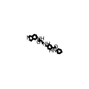 O=C(CCNCc1ccc(C(=O)Nc2ccccc2)cc1)Nc1ccc2cnccc2c1